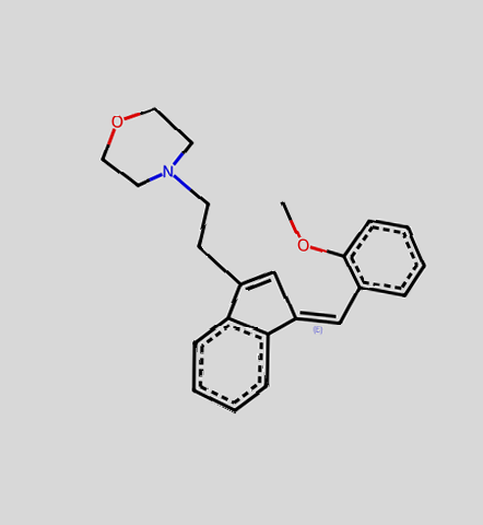 COc1ccccc1/C=C1\C=C(CCN2CCOCC2)c2ccccc21